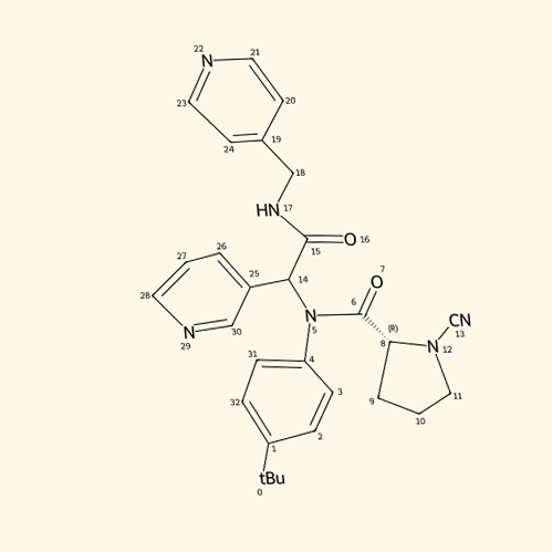 CC(C)(C)c1ccc(N(C(=O)[C@H]2CCCN2C#N)C(C(=O)NCc2ccncc2)c2cccnc2)cc1